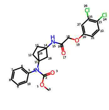 COC(=O)N(c1ccccc1)C12CCC(NC(=O)COc3ccc(Cl)c(Cl)c3)(C1)C2